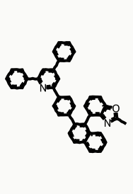 Cc1nc2c(-c3c(-c4ccc(-c5cc(-c6ccccc6)cc(-c6ccccc6)n5)cc4)ccc4ccccc34)cccc2o1